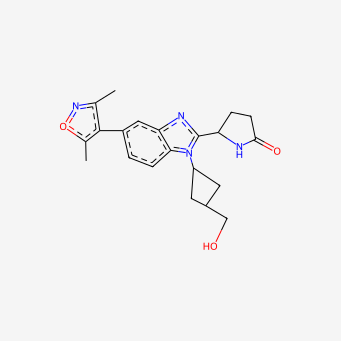 Cc1noc(C)c1-c1ccc2c(c1)nc(C1CCC(=O)N1)n2C1CC(CO)C1